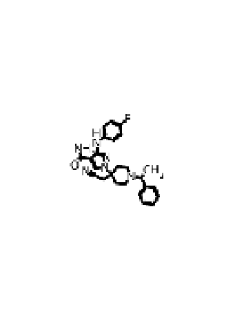 CC(c1ccccc1)N1CCC(CC#N)(n2cc(C(N)=O)c(Nc3ccc(F)cc3)n2)CC1